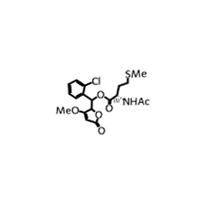 COC1=CC(=O)OC1C(OC(=O)[C@H](CCSC)NC(C)=O)c1ccccc1Cl